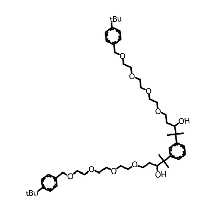 CC(C)(C)c1ccc(COCCOCCOCCOCCC(O)C(C)(C)c2cccc(C(C)(C)C(O)CCOCCOCCOCCOCc3ccc(C(C)(C)C)cc3)c2)cc1